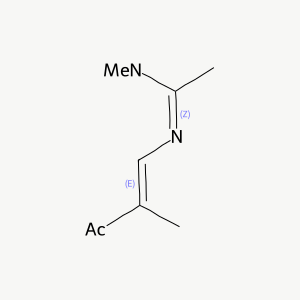 CN/C(C)=N\C=C(/C)C(C)=O